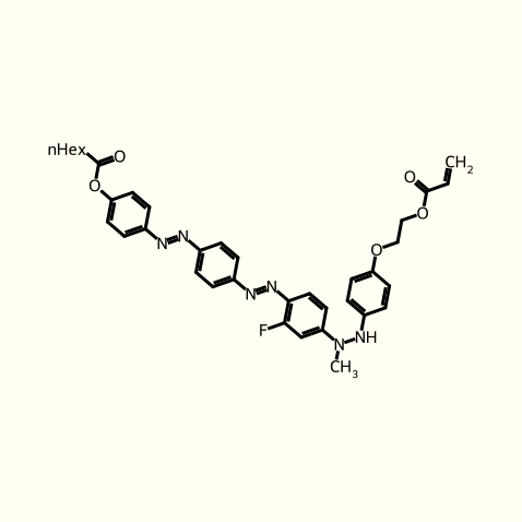 C=CC(=O)OCCOc1ccc(NN(C)c2ccc(/N=N/c3ccc(/N=N/c4ccc(OC(=O)CCCCCC)cc4)cc3)c(F)c2)cc1